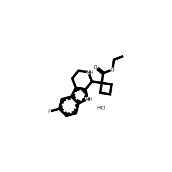 CCOC(=O)C1(C2NCCc3c2[nH]c2ccc(F)cc32)CCC1.Cl